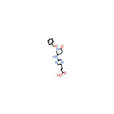 O=C(O)C=Cc1cnc(N[C@@H]2CCC(=O)N(OCc3ccccc3)C2)cn1